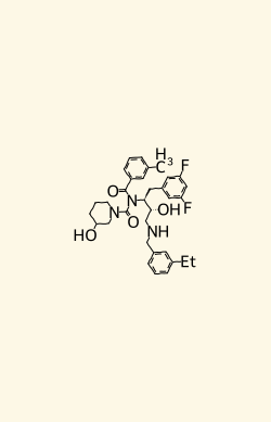 CCc1cccc(CNC[C@@H](O)[C@H](Cc2cc(F)cc(F)c2)N(C(=O)c2cccc(C)c2)C(=O)N2CCCC(O)C2)c1